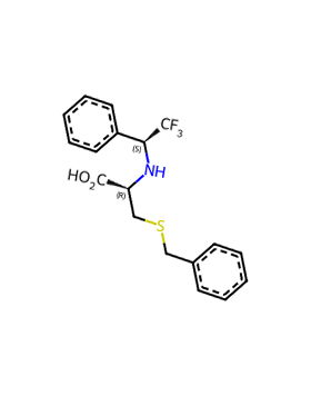 O=C(O)[C@H](CSCc1ccccc1)N[C@@H](c1ccccc1)C(F)(F)F